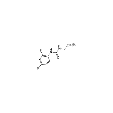 CCOC(=O)CNC(=O)Nc1ccc(F)cc1F